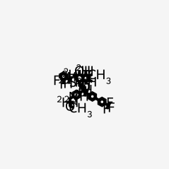 [2H]C1=C(SC([2H])([2H])c2cccc(F)c2F)N(CC(=O)N(C2CCN(CC([2H])([2H])OC)CC2)C([2H])([2H])c2ccc(-c3ccc(C(F)(F)F)cc3)cc2)c2c([2H])c([2H])c(C)c([2H])c2C1O